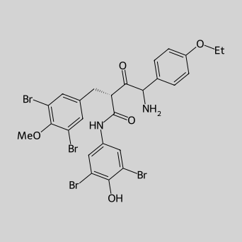 CCOc1ccc(C(N)C(=O)[C@@H](Cc2cc(Br)c(OC)c(Br)c2)C(=O)Nc2cc(Br)c(O)c(Br)c2)cc1